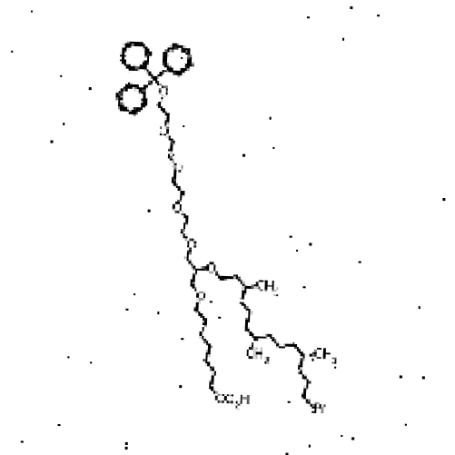 CC(C)CCC[C@@H](C)CCC[C@@H](C)CCCC(C)CCOC(COCCCCCCCC(=O)O)COCCOCCOCCOCCOC(c1ccccc1)(c1ccccc1)c1ccccc1